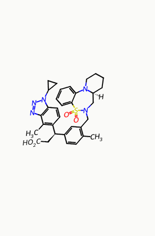 Cc1ccc([C@@H](CC(=O)O)c2ccc3c(nnn3C3CC3)c2C)cc1CN1C[C@@H]2CCCCN2c2ccccc2S1(=O)=O